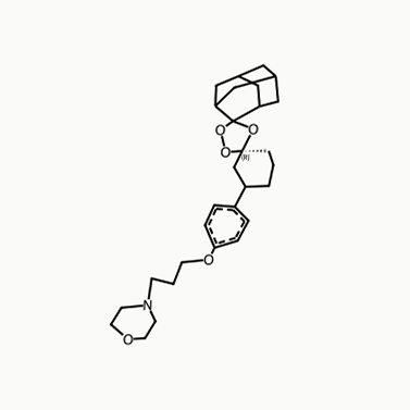 c1cc(C2CCC[C@]3(C2)OOC2(O3)C3CC4CC(C3)CC2C4)ccc1OCCCN1CCOCC1